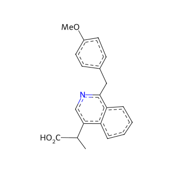 COc1ccc(Cc2ncc(C(C)C(=O)O)c3ccccc23)cc1